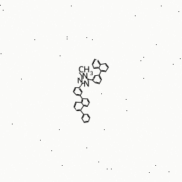 CCc1nc(-c2cccc(-c3cccc4ccccc34)c2)nc(-c2cccc(-c3cccc4c(-c5ccccc5)cccc34)c2)n1